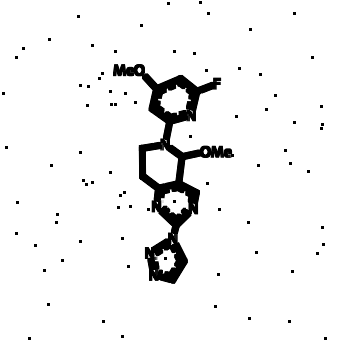 COc1cc(F)nc(N2CCc3nc(-n4ccnn4)ncc3C2OC)c1